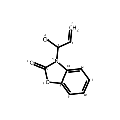 C=CC(Cl)n1c(=O)oc2ccccc21